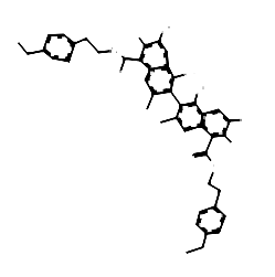 CCc1ccc(CCNC(=O)c2c(O)c(O)cc3c(O)c(-c4c(C)cc5c(C(O)NCCc6ccc(CC)cc6)c(O)c(O)cc5c4O)c(C)cc23)cc1